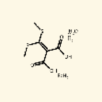 CSC(SC)=C(C(=O)O)C(=O)O.O.O.[BaH2]